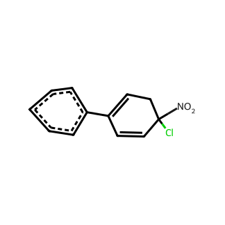 O=[N+]([O-])C1(Cl)C=CC(c2ccccc2)=CC1